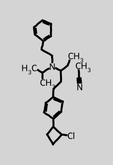 CC#N.CCC(CCc1ccc(C2CCC2Cl)cc1)N(CCc1ccccc1)C(C)C